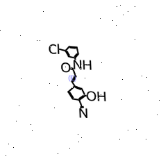 N#Cc1ccc(/C=C/C(=O)Nc2cccc(Cl)c2)cc1O